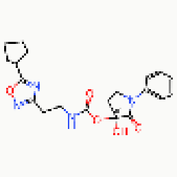 O=C(NCCc1noc(C2CCCC2)n1)O[C@@]1(O)CCN(c2ccccc2)C1=O